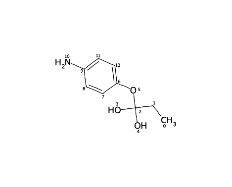 CCC(O)(O)Oc1ccc(N)cc1